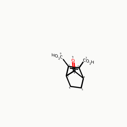 O=C(O)C1=C(C(=O)O)C2CCC1C2=O